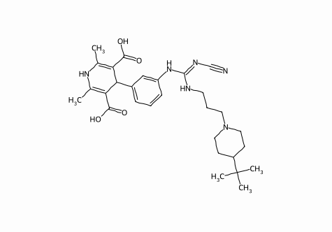 CC1=C(C(=O)O)C(c2cccc(N/C(=N/C#N)NCCCN3CCC(C(C)(C)C)CC3)c2)C(C(=O)O)=C(C)N1